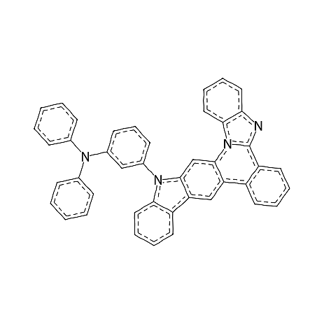 c1ccc(N(c2ccccc2)c2cccc(-n3c4ccccc4c4cc5c6ccccc6c6nc7ccccc7n6c5cc43)c2)cc1